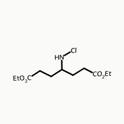 CCOC(=O)CCC(CCC(=O)OCC)NCl